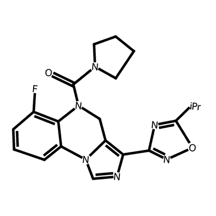 CC(C)c1nc(-c2ncn3c2CN(C(=O)N2CCCC2)c2c(F)cccc2-3)no1